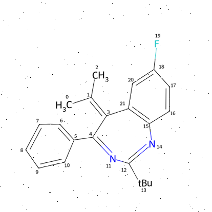 CC(C)=C1C(c2ccccc2)=NC(C(C)(C)C)=Nc2ccc(F)cc21